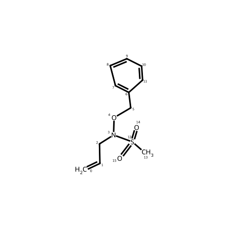 C=CCN(OCc1ccccc1)S(C)(=O)=O